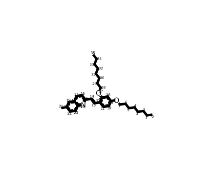 CCCCCCCCOc1ccc(C=Cc2ccc3cc(C)ccc3n2)c(OCCCCCCCC)c1